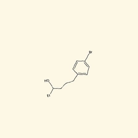 CCC(O)CCCc1ccc(Br)cc1